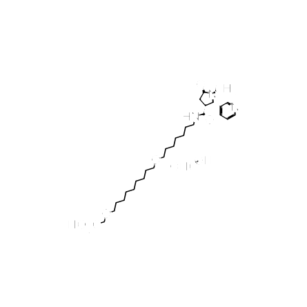 CN1C(=O)C[C@H](C(=O)NCCCCCCCOCCCCCCCCCOCC(=O)O)[C@H]1c1cccnc1.O=CO